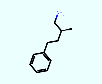 C[C@H](CN)CCc1ccccc1